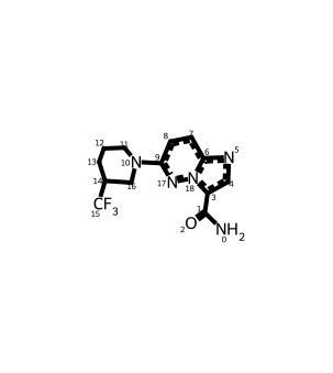 NC(=O)c1cnc2ccc(N3CCCC(C(F)(F)F)C3)nn12